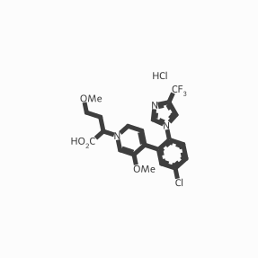 COCCC(C(=O)O)N1C=C(OC)C(c2cc(Cl)ccc2-n2cnc(C(F)(F)F)c2)=CC1.Cl